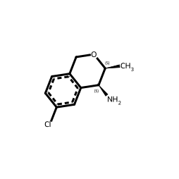 C[C@@H]1OCc2ccc(Cl)cc2[C@@H]1N